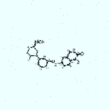 CC1CCC(=NO)CC1c1cccc(OCc2ccc3c(ccc(=O)n3C)c2)c1